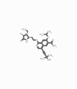 CC[C@@H]1[C@H](F)C(=O)N[C@@H]1CCOc1ncc(C#CC(C)(C)O)c2cc(C(N)=O)c(OC(C)C)cc12